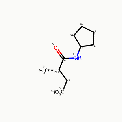 C[C@@H](CC(=O)O)C(=O)NC1CCCC1